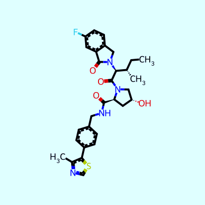 CC[C@H](C)[C@@H](C(=O)N1C[C@H](O)C[C@H]1C(=O)NCc1ccc(-c2scnc2C)cc1)N1Cc2ccc(F)cc2C1=O